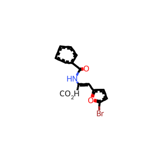 O=C(O)C(=Cc1ccc(Br)o1)NC(=O)c1ccccc1